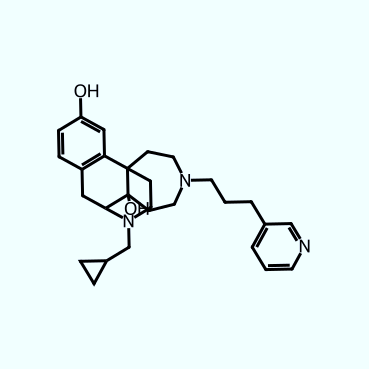 Oc1ccc2c(c1)C13CCN(CCCc4cccnc4)CCC1(O)C(C2)N(CC1CC1)CC3